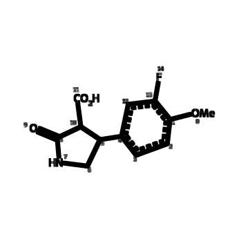 COc1ccc(C2CNC(=O)C2C(=O)O)cc1F